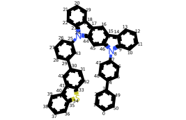 c1ccc(-c2ccc(-n3c4ccccc4c4cc5c6ccccc6n(-c6cccc(-c7ccc8sc9ccccc9c8c7)c6)c5cc43)cc2)cc1